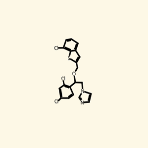 Clc1ccc(C(Cn2ccnc2)OCc2cc3cccc(Cl)c3s2)c(Cl)c1